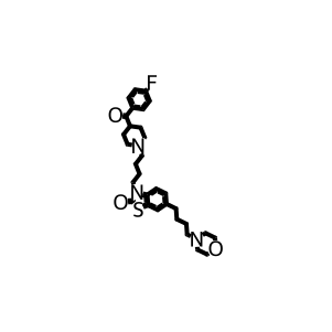 O=C(c1ccc(F)cc1)C1CCN(CCCCn2c(=O)sc3cc(CCCCN4CCOCC4)ccc32)CC1